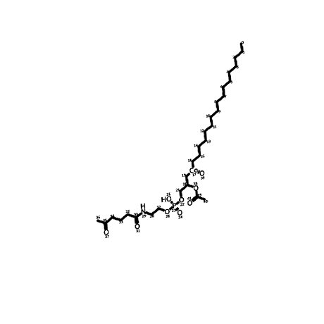 CCCCCCCCCCCCCCCC[CH2][Co](=[O])[CH2]C(COP(=O)(O)OCCNC(=O)CCCC(C)=O)OC(C)=O